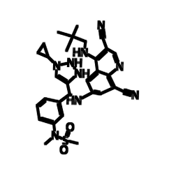 CN(c1cccc([C@H](Nc2cc(C#N)c3ncc(C#N)c(NCC(C)(C)C)c3c2)C2=CN(C3CC3)NN2)c1)S(C)(=O)=O